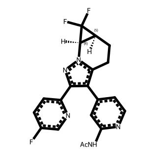 CC(=O)Nc1cc(-c2c(-c3ccc(F)cn3)nn3c2CC[C@H]2[C@@H]3C2(F)F)ccn1